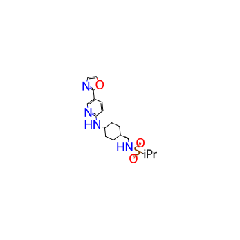 CC(C)S(=O)(=O)NC[C@H]1CC[C@H](Nc2ccc(-c3ncco3)cn2)CC1